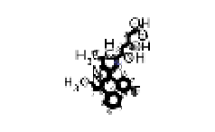 Cc1cc(-c2ccccc2)c2c(-c3ccc(F)cc3)c(/C=C/C(O)CC(O)CC(=O)O)c(C(C)C)nn12